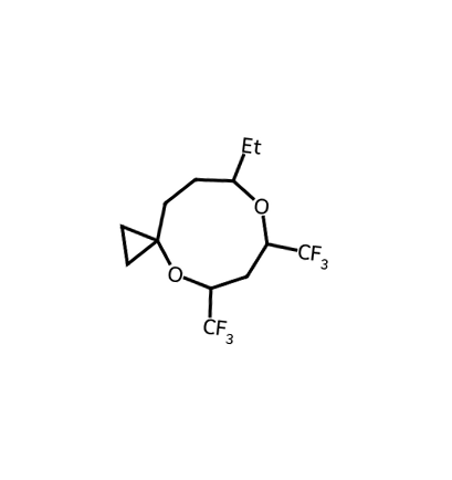 CCC1CCC2(CC2)OC(C(F)(F)F)CC(C(F)(F)F)O1